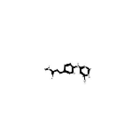 COC(=O)CCc1ccc(Oc2cc(Cl)ncn2)cc1